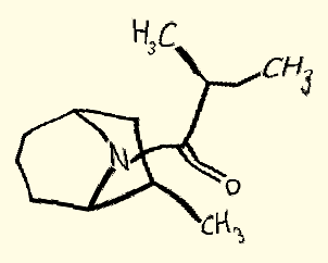 CC(C)C(=O)N1C2CCC1C(C)C2